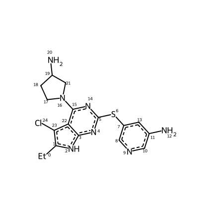 CCc1[nH]c2nc(Sc3cncc(N)c3)nc(N3CCC(N)C3)c2c1Cl